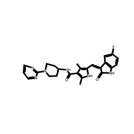 Cc1[nH]c(/C=C2\C(=O)Nc3ccc(F)cc32)c(C)c1C(=O)NC1CCN(c2ncccn2)CC1